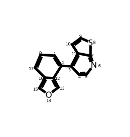 c1cc(-c2ccnc3sccc23)c2cocc2c1